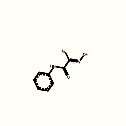 CC(=O)/C(=N\O)C(=O)Nc1ccccc1